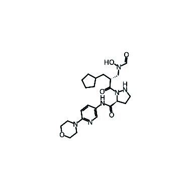 O=CN(O)C[C@@H](CC1CCCC1)C(=O)N1NCC[C@H]1C(=O)Nc1ccc(N2CCOCC2)nc1